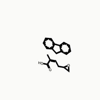 CC(=CCC1CO1)C(=O)O.c1ccc2c(c1)Cc1ccccc1-2